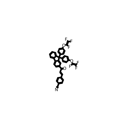 N#Cc1ccc(C=CC(=O)c2ccc3c(c2)C(c2ccc(OC(F)=C(F)F)cc2)(c2ccc(OC(F)=C(F)F)cc2)c2ccccc2-3)cc1